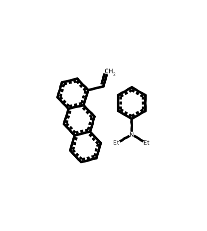 C=Cc1cccc2cc3ccccc3cc12.CCN(CC)c1ccccc1